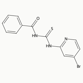 O=C(NC(=S)Nc1cc(Br)ccn1)c1ccccc1